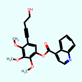 COc1c(C#CCCO)cc(OC(=O)c2ccnc3ccccc23)c(OC)c1OC